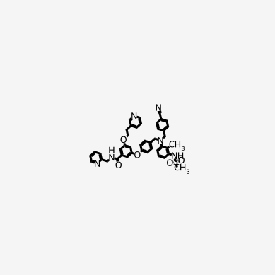 Cc1c(NS(C)(=O)=O)cccc1N(Cc1ccc(C#N)cc1)Cc1ccc(Oc2cc(OCCc3cccnc3)cc(C(=O)NCc3ccccn3)c2)cc1